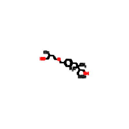 COCC(CO)C(C)(C)Cc1ccc(COCCC(CO)C(C)(C)C)cc1